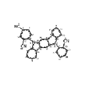 N#Cc1ccc(-n2c3ccccc3c3cc4c(cc32)c2ccccc2n4-c2ccccc2C#N)c(C#N)c1